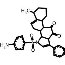 CC1CCCC2C1=CCC1C2C(=O)C(=O)C2C(c3ccccc3)=CN(S(=O)(=O)c3ccc(N)cc3)C21